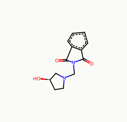 O=C1c2ccccc2C(=O)N1CN1CC[C@@H](O)C1